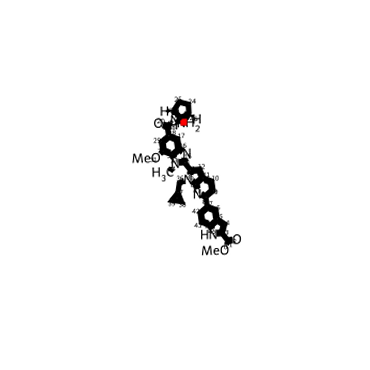 COC(=O)c1cc2cc(-c3ccc4cc(-c5nc6cc(C(=O)N7C[C@H]8CC[C@@H]7[C@@H]8N)cc(OC)c6n5C)n(CC5CC5)c4n3)ccc2[nH]1